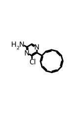 Nc1cnc(C2=C/C=C\C=C/C=C\C=C/C=C\2)c(Cl)n1